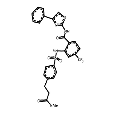 CNC(=O)CCc1ccc(S(=O)(=O)Nc2cc(C(F)(F)F)ccc2C(=O)Nc2nc(-c3ccccc3)cs2)cc1